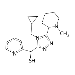 CN1CCCCC1c1nnc(C(S)c2ccccn2)n1CC1CC1